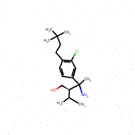 CC(C)[C@@H](CO)C(C)(N)c1ccc(CCC(C)(C)C)c(Cl)c1